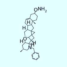 C[C@H]1C[C@H]2O[C@@]34CC[C@H]5C6CC=C7C[C@@H](ON)CC[C@]7(C)[C@H]6CC56CC63C[C@@H]4[C@@H]2N(Cc2ccccc2)C1